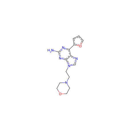 Nc1nc(-c2ccco2)c2ncn(CCN3CCOCC3)c2n1